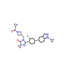 O=C(C1CC1)N1CC(CN2C(=O)C3(CC3)N=C2c2ccc(-c3ccc4c(cnn4C4CC4)c3)cc2F)C1